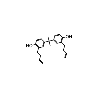 C=CCCc1cc(C(C)(C)c2ccc(O)c(CCC=C)c2)ccc1O